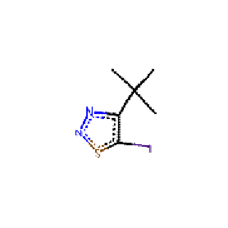 CC(C)(C)c1nnsc1I